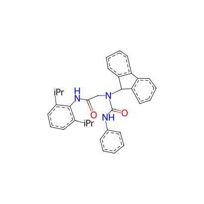 CC(C)c1cccc(C(C)C)c1NC(=O)CN(C(=O)Nc1ccccc1)C1c2ccccc2-c2ccccc21